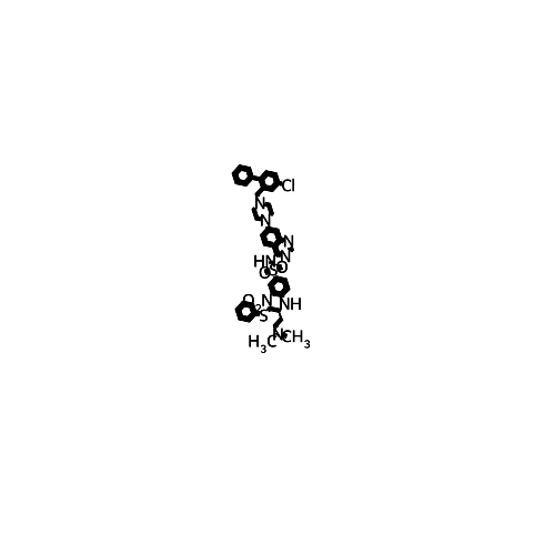 CN(C)CC[C@@H](CSc1ccccc1)Nc1ccc(S(=O)(=O)Nc2ncnc3cc(N4CCN(Cc5cc(Cl)ccc5-c5ccccc5)CC4)ccc23)cc1[N+](=O)[O-]